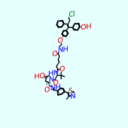 Cc1ncsc1-c1ccc(CNC(=O)[C@@H]2C[C@@H](O)CN2C(=O)C(NC(=O)CCCCC(=O)NCCOc2ccc(C(=C(CCCl)c3ccccc3)c3ccc(O)cc3)cc2)C(C)(C)C)cc1